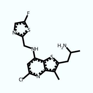 Cc1c(CC(C)N)sc2c(NCc3ncc(F)s3)cc(Cl)nc12